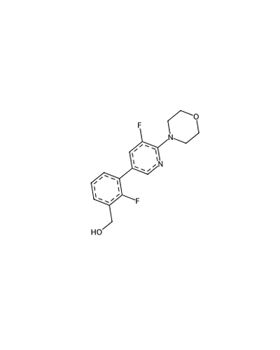 OCc1cccc(-c2cnc(N3CCOCC3)c(F)c2)c1F